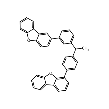 CC(c1ccc(-c2cccc3c2oc2ccccc23)cc1)c1cccc(-c2ccc3oc4ccccc4c3c2)c1